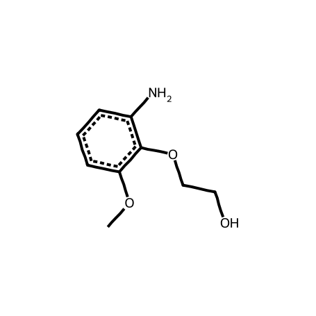 COc1cccc(N)c1OCCO